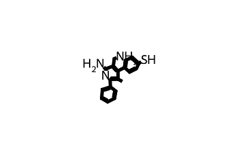 Cc1c(-c2ccccc2)nc(N)c(CN)c1-c1ccc(S)cc1